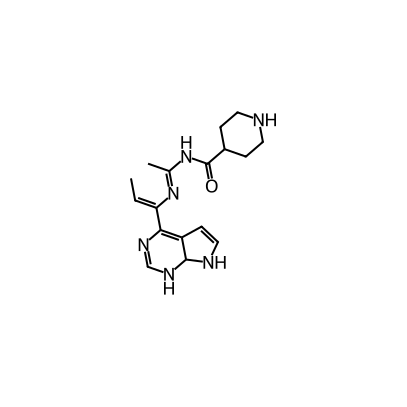 C/C=C(\N=C(/C)NC(=O)C1CCNCC1)C1=C2C=CNC2NC=N1